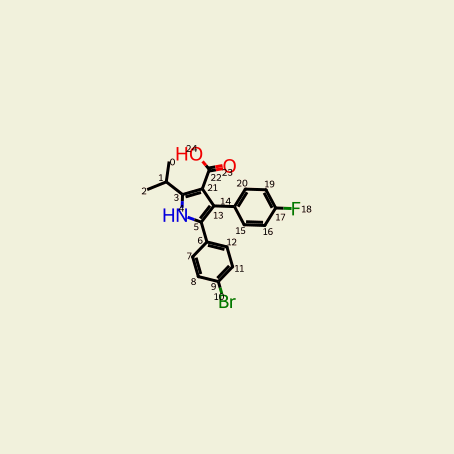 CC(C)c1[nH]c(-c2ccc(Br)cc2)c(-c2ccc(F)cc2)c1C(=O)O